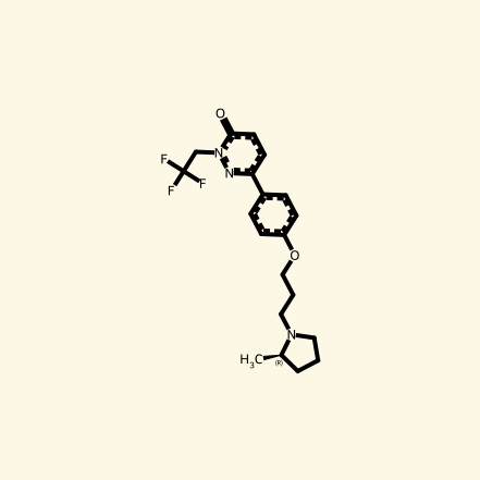 C[C@@H]1CCCN1CCCOc1ccc(-c2ccc(=O)n(CC(F)(F)F)n2)cc1